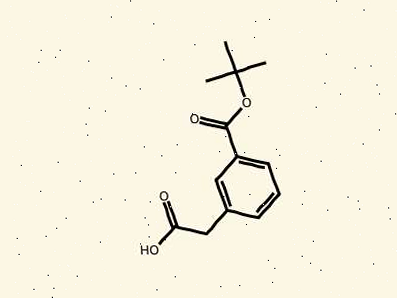 CC(C)(C)OC(=O)c1cccc(CC(=O)O)c1